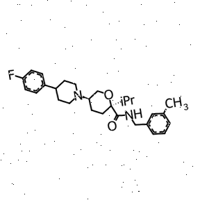 Cc1cccc(CNC(=O)[C@@]2(C(C)C)CC[C@@H](N3CCC(c4ccc(F)cc4)CC3)CO2)c1